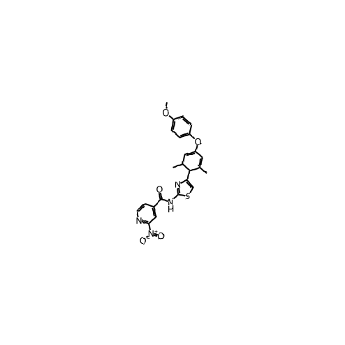 COc1ccc(OC2=CC(C)C(c3csc(NC(=O)c4ccnc([N+](=O)[O-])c4)n3)C(C)=C2)cc1